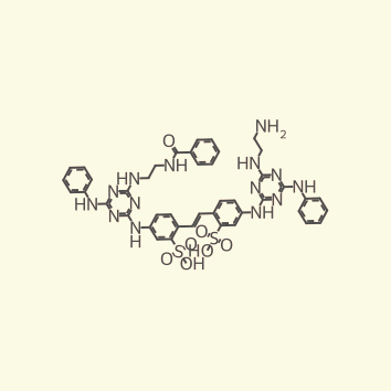 NCCNc1nc(Nc2ccccc2)nc(Nc2ccc(/C=C/c3ccc(Nc4nc(NCCNC(=O)c5ccccc5)nc(Nc5ccccc5)n4)cc3S(=O)(=O)O)c(S(=O)(=O)O)c2)n1